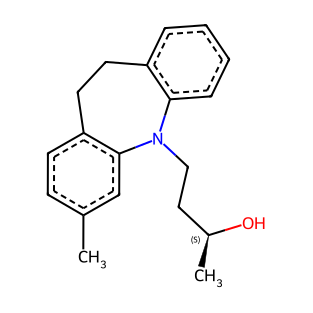 Cc1ccc2c(c1)N(CC[C@H](C)O)c1ccccc1CC2